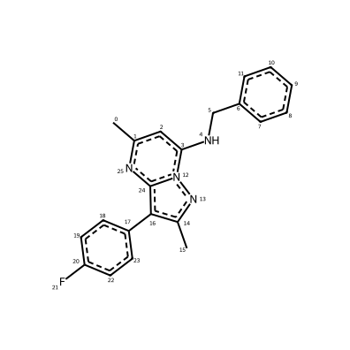 Cc1cc(NCc2ccccc2)n2nc(C)c(-c3ccc(F)cc3)c2n1